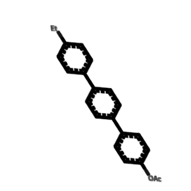 CCc1ccc(-c2ccc(-c3ccc(OC(C)=O)cc3)cc2)cc1